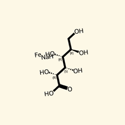 O=C(O)[C@H](O)[C@@H](O)[C@H](O)[C@H](O)CO.[Fe].[NaH]